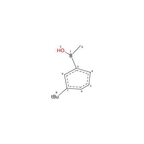 CB(O)c1cccc(C(C)(C)C)c1